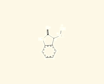 O=C1Nc2ccccc2C1NO